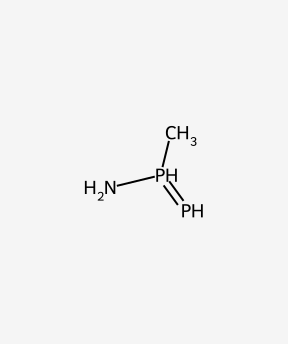 C[PH](N)=P